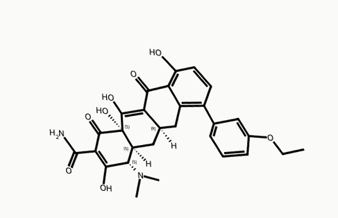 CCOc1cccc(-c2ccc(O)c3c2C[C@H]2C[C@H]4[C@H](N(C)C)C(O)=C(C(N)=O)C(=O)[C@@]4(O)C(O)=C2C3=O)c1